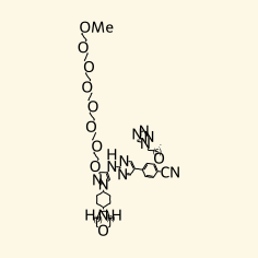 COCCOCCOCCOCCOCCOCCOCCOc1nn(C2CCC(N3[C@@H]4CC[C@H]3COC4)CC2)cc1Nc1ncc(-c2ccc(C#N)c(O[C@@H](C)Cn3cnnn3)c2)cn1